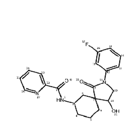 O=C(NC1CCCC2(C1)C(=O)N(c1cccc(F)c1)CC2O)c1ccccn1